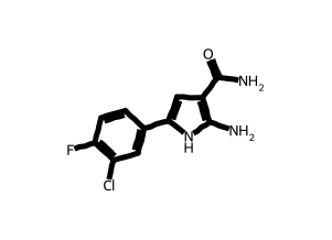 NC(=O)c1cc(-c2ccc(F)c(Cl)c2)[nH]c1N